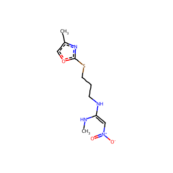 CNC(=C[N+](=O)[O-])NCCCSc1nc(C)co1